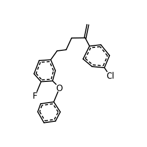 C=C(CCCc1ccc(F)c(Oc2ccccc2)c1)c1ccc(Cl)cc1